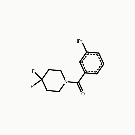 CC(C)c1cccc(C(=O)N2CCC(F)(F)CC2)c1